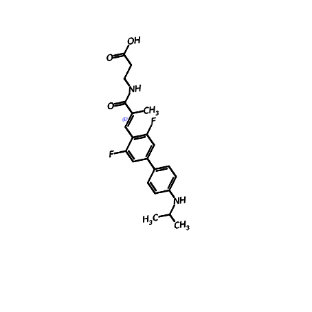 C/C(=C\c1c(F)cc(-c2ccc(NC(C)C)cc2)cc1F)C(=O)NCCC(=O)O